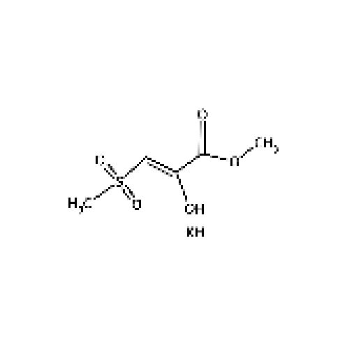 COC(=O)C(O)=CS(C)(=O)=O.[KH]